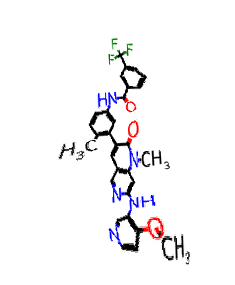 COc1ccncc1Nc1cc2c(cn1)cc(-c1cc(NC(=O)c3cccc(C(F)(F)F)c3)ccc1C)c(=O)n2C